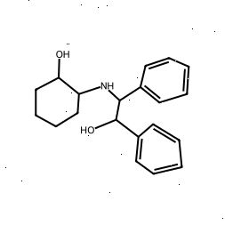 OC1CCCCC1NC(c1ccccc1)C(O)c1ccccc1